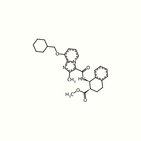 COC(=O)[C@@H]1CCc2ccccc2[C@@H]1NC(=O)c1c(C)nc2c(OCC3CCCCC3)cccn12